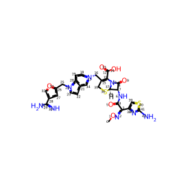 CO/N=C(\C(=O)N[C@@H]1C(=O)N2C(C(=O)O)=C(C[n+]3ccc4c(ccn4Cc4cc(C(=N)N)co4)c3)CS[C@H]12)c1csc(N)n1